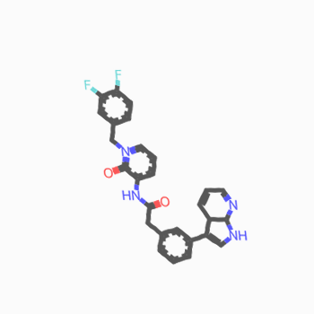 O=C(Cc1cccc(C2=CNC3N=CC=CC23)c1)Nc1cccn(Cc2ccc(F)c(F)c2)c1=O